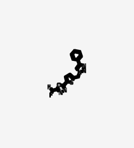 FC(F)c1nnc(-c2ccc(Cn3cc(-c4ccccc4)nn3)s2)o1